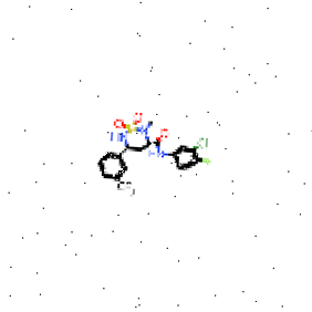 CN1[C@@H](C(=O)Nc2ccc(F)c(Cl)c2)C[C@@H](c2cccc(C(F)(F)F)c2)NS1(=O)=O